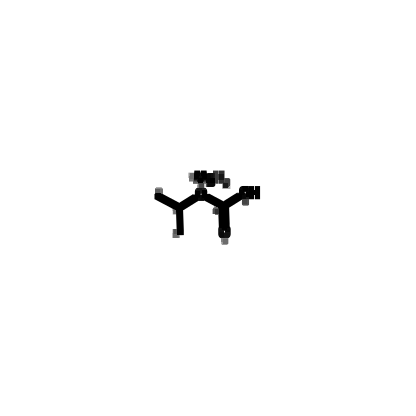 CC(C)OC(=O)O.[MgH2]